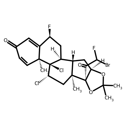 CC1(C)O[C@@H]2C[C@H]3[C@@H]4C[C@H](F)C5=CC(=O)C=C[C@]5(C)[C@@]4(Cl)[C@@H](Cl)C[C@]3(C)[C@]2(C(=O)C(F)Br)O1